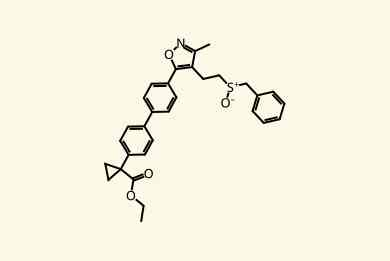 CCOC(=O)C1(c2ccc(-c3ccc(-c4onc(C)c4CC[S+]([O-])Cc4ccccc4)cc3)cc2)CC1